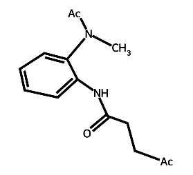 CC(=O)CCC(=O)Nc1ccccc1N(C)C(C)=O